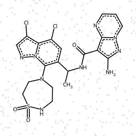 CC(NC(=O)c1c(N)nn2cccnc12)c1cc(Cl)c2c(Cl)cnn2c1N1CCNS(=O)(=O)CC1